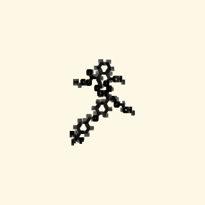 CCON=C(C=NOC(C)c1ccccc1C(=COC)C(=O)OC)c1ccc(OCc2ccc(C(F)(F)F)cc2)cc1